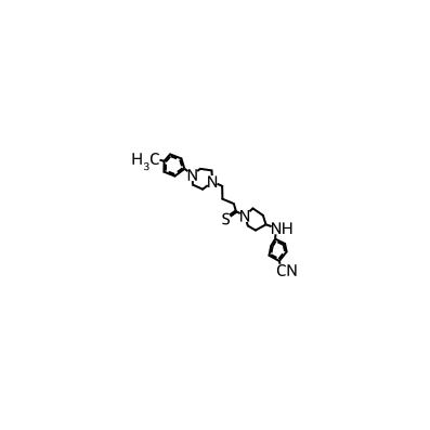 Cc1ccc(N2CCN(CCCC(=S)N3CCC(Nc4ccc(C#N)cc4)CC3)CC2)cc1